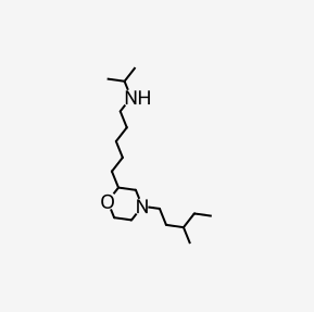 CCC(C)CCN1CCOC(CCCCCNC(C)C)C1